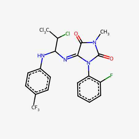 CN1C(=O)C(=NC(Nc2ccc(C(F)(F)F)cc2)C(Cl)C(Cl)(Cl)Cl)N(c2ccccc2F)C1=O